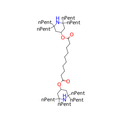 CCCCCC1(CCCCC)CC(OC(=O)CCCCCCCCC(=O)OC2CC(CCCCC)(CCCCC)NC(CCCCC)(CCCCC)C2)CC(CCCCC)(CCCCC)N1